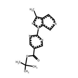 Cc1nn(-c2ncc(C(=O)OC(C)(C)C)cn2)c2cnccc12